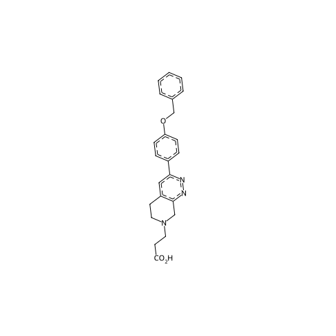 O=C(O)CCN1CCc2cc(-c3ccc(OCc4ccccc4)cc3)nnc2C1